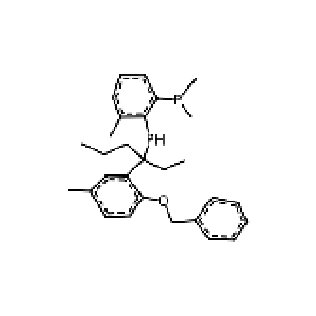 CCCC(CC)(Pc1c(C)cccc1P(C)C)c1cc(C)ccc1OCc1ccccc1